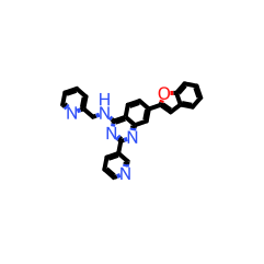 c1ccc(CNc2nc(-c3cccnc3)nc3cc(-c4cc5ccccc5o4)ccc23)nc1